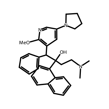 COc1ncc(N2CCCC2)cc1C(c1ccccc1)C(O)(CCN(C)C)c1cccc2ccccc12